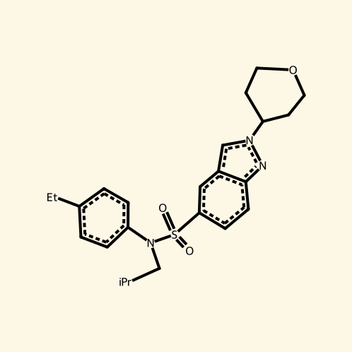 CCc1ccc(N(CC(C)C)S(=O)(=O)c2ccc3nn(C4CCOCC4)cc3c2)cc1